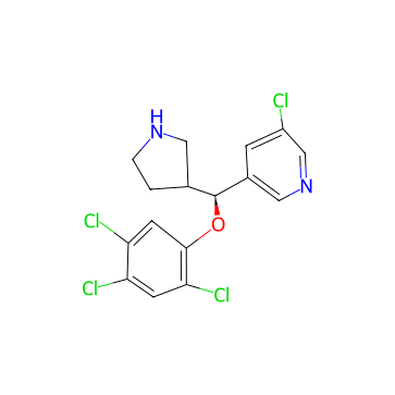 Clc1cncc([C@@H](Oc2cc(Cl)c(Cl)cc2Cl)C2CCNC2)c1